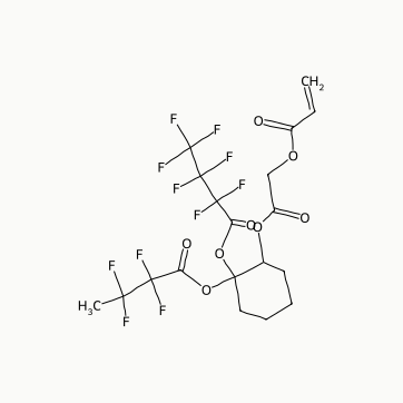 C=CC(=O)OCC(=O)OC1CCCCC1(OC(=O)C(F)(F)C(C)(F)F)OC(=O)C(F)(F)C(F)(F)C(F)(F)F